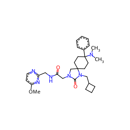 COc1ccnc(CNC(=O)CN2CC3(CCC(c4ccccc4)(N(C)C)CC3)N(CC3CCC3)C2=O)n1